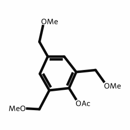 COCc1cc(COC)c(OC(C)=O)c(COC)c1